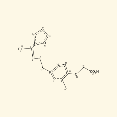 Cc1cc(SCC=C(c2ccco2)C(F)(F)F)ccc1OCC(=O)O